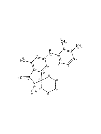 Cc1c(N)ncnc1Nc1cc(C#N)c2c(c1)C1(CCCCC1)N(C)C2=O